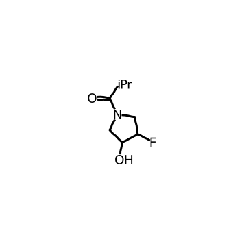 CC(C)C(=O)N1CC(O)C(F)C1